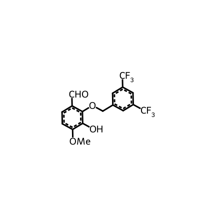 COc1ccc(C=O)c(OCc2cc(C(F)(F)F)cc(C(F)(F)F)c2)c1O